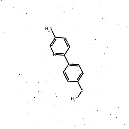 COc1ccc(-c2ccc(N)cn2)cc1